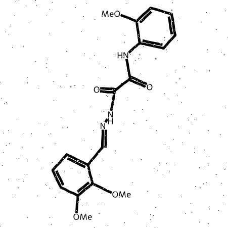 COc1ccccc1NC(=O)C(=O)NN=Cc1cccc(OC)c1OC